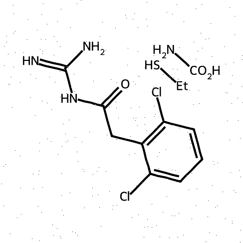 CCS.N=C(N)NC(=O)Cc1c(Cl)cccc1Cl.NC(=O)O